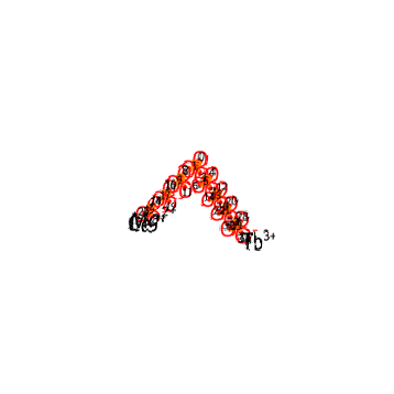 O=P(=O)[O-].O=P(=O)[O-].O=P(=O)[O-].O=P(=O)[O-].O=P(=O)[O-].O=P(=O)[O-].O=P(=O)[O-].O=P(=O)[O-].[Ce+3].[Mg+2].[Tb+3]